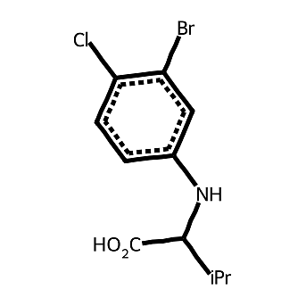 CC(C)C(Nc1ccc(Cl)c(Br)c1)C(=O)O